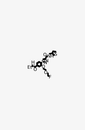 CCNC(=O)c1ccc(-n2cc(C(=O)NCc3ccsc3)nn2)c(OCCOCCF)c1